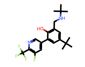 CC(C)(C)NCc1cc(C(C)(C)C)cc(-c2cnc(C(F)(F)F)c(F)c2)c1O